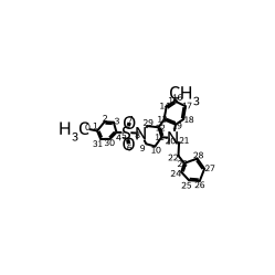 Cc1ccc(S(=O)(=O)N2CCc3c(c4cc(C)ccc4n3CCc3ccccc3)C2)cc1